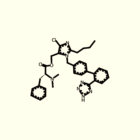 CCCCc1nc(Cl)c(COC(=O)[C@@H](Cc2ccccc2)N(C)C)n1Cc1ccc(-c2ccccc2-c2nn[nH]n2)cc1